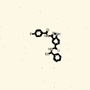 CCC(NC(=O)c1ccc2[nH]nc(NC(=O)c3ccc(F)cc3)c2c1)c1ccccc1